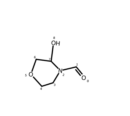 O=CN1CCOCC1O